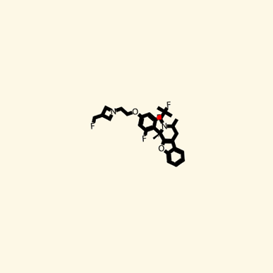 CC1Cc2c(oc3ccccc23)[C@](C)(c2c(F)cc(OCCN3CC(CF)C3)cc2F)N1CC(C)(C)F